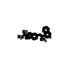 CC(C)c1cc2cc(CC(C)c3cncc4ccccc34)ccc2[nH]1